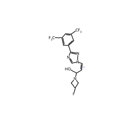 OC(/C=C\n1cnc(-c2cc(C(F)(F)F)cc(C(F)(F)F)c2)n1)N1CC(F)C1